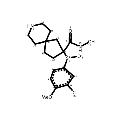 COc1ccc([S+]([O-])C2(C(=O)NO)CCC3(CCNCC3)C2)cc1Cl